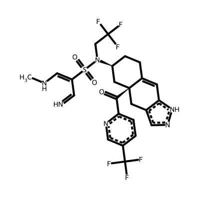 CN/C=C(\C=N)S(=O)(=O)N(CC(F)(F)F)[C@H]1CCC2=Cc3[nH]ncc3C[C@]2(C(=O)c2ccc(C(F)(F)F)cn2)C1